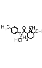 Cc1ccc(N(C)C(=O)C2CCCC(C)N2C)cc1.Cl